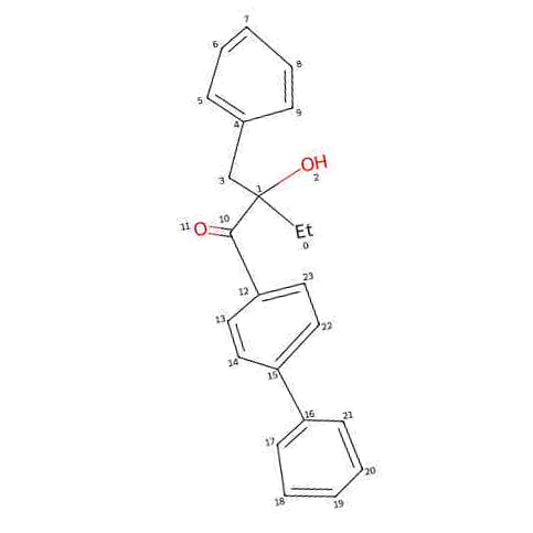 CCC(O)(Cc1ccccc1)C(=O)c1ccc(-c2ccccc2)cc1